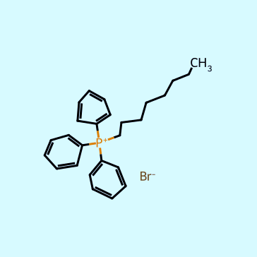 CCCCCCCC[P+](c1ccccc1)(c1ccccc1)c1ccccc1.[Br-]